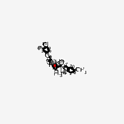 Cc1ccc(C)c(CNC(=O)C23CC(C2)[C@@H](NC(=O)COc2ccc(Cl)c(F)c2)C3)c1